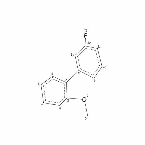 COc1ccc[c]c1-c1cccc(F)c1